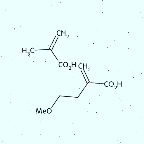 C=C(C)C(=O)O.C=C(CCOC)C(=O)O